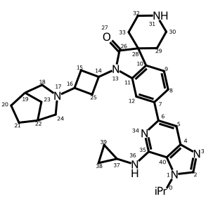 CC(C)n1cnc2cc(-c3ccc4c(c3)N(C3CC(N5CC6CCC(C6)C5)C3)C(=O)C43CCNCC3)nc(NC3CC3)c21